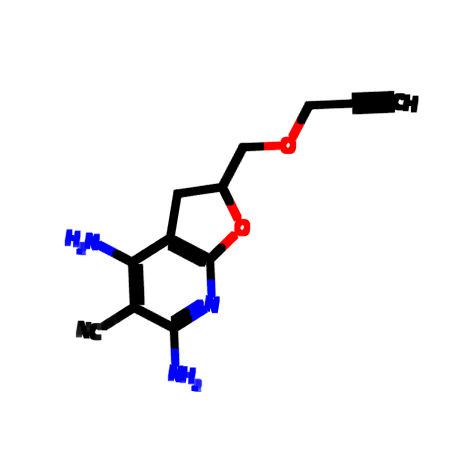 C#CCOCC1Cc2c(nc(N)c(C#N)c2N)O1